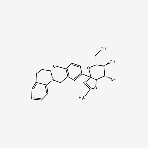 CC1=NC2(c3ccc(Cl)c(CN4CCCc5ccccc54)c3)O[C@H](CO)[C@@H](O)[C@H](O)C2O1